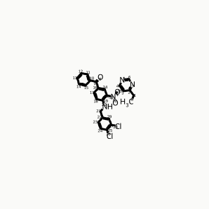 CCc1ccncn1.O=C(c1ccccc1)c1ccc(NCc2ccc(Cl)c(Cl)c2)c([N+](=O)[O-])c1